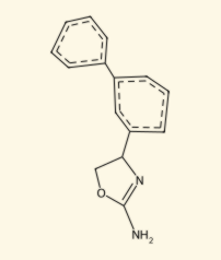 NC1=NC(c2cccc(-c3ccccc3)c2)CO1